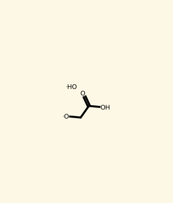 [OH].[O]CC(=O)O